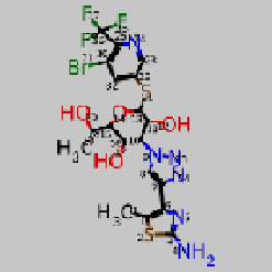 Cc1sc(N)nc1-c1cn(C[C@H](O)C(OC(CO)[C@@H](C)O)Sc2cnc(C(F)(F)F)c(Br)c2)nn1